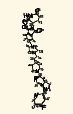 Cc1cnc(-n2ccc3cc(N4CCC(CCN5CCN(c6ccc7c(c6)C(=O)N(C6CCC(=O)NC6=O)C7=O)CC5)CC4)ncc32)cc1F